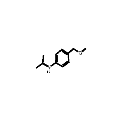 COCc1ccc(NC(C)C)cc1